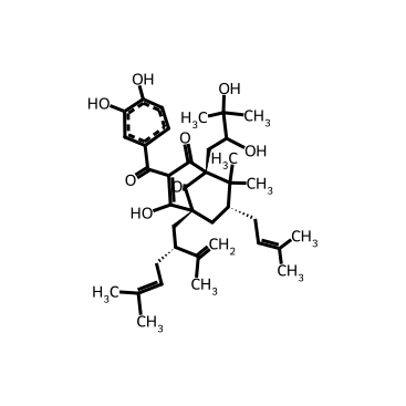 C=C(C)[C@H](CC=C(C)C)C[C@@]12C[C@@H](CC=C(C)C)C(C)(C)[C@@](CC(O)C(C)(C)O)(C(=O)C(C(=O)c3ccc(O)c(O)c3)=C1O)C2=O